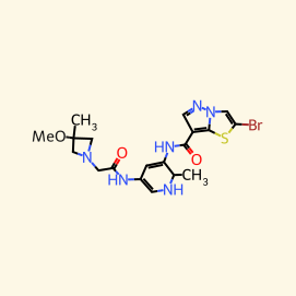 COC1(C)CN(CC(=O)NC2=CNC(C)C(NC(=O)c3cnn4cc(Br)sc34)=C2)C1